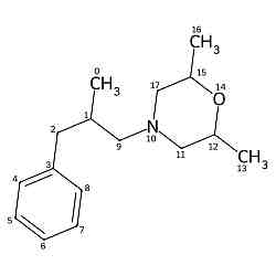 CC(Cc1ccccc1)CN1CC(C)OC(C)C1